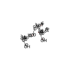 [2H]C(C)(C)N(Cc1ccccc1OCCCCCC(=O)O)C(=O)c1ccc(C2(C(F)(F)F)CC2)cc1.[2H]C([2H])(c1ccccc1OCCCCCC(=O)O)N(C(=O)c1ccc(C2(C(F)(F)F)CC2)cc1)C(C)C.[2H]C([2H])(c1ccccc1OCCCCCC(=O)O)N(C(=O)c1ccc(C2CCCCO2)cc1)C(C)C